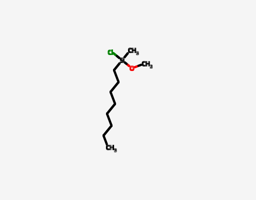 CCCCCCCC[Si](C)(Cl)OC